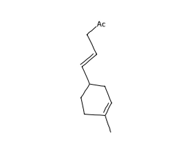 CC(=O)CC=CC1CC=C(C)CC1